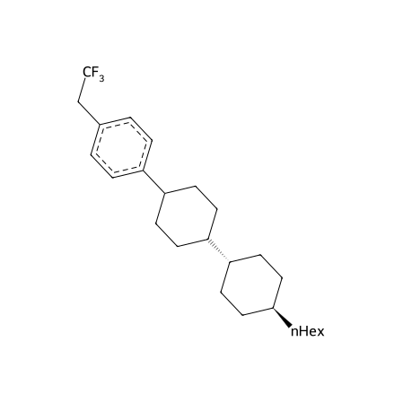 CCCCCC[C@H]1CC[C@H](C2CCC(c3ccc(CC(F)(F)F)cc3)CC2)CC1